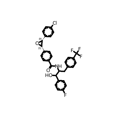 O=C(NC(Cc1ccc(C(F)(F)F)cc1)C(O)c1ccc(F)cc1)c1ccc([C@@H]2O[C@@H]2c2ccc(Cl)cc2)cc1